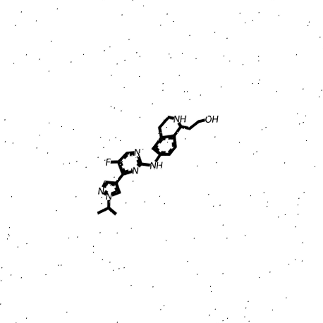 CC(C)n1cc(-c2nc(Nc3ccc4c(c3)CCNC4CCO)ncc2F)cn1